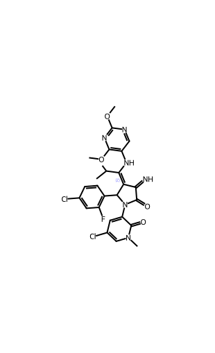 COc1ncc(N/C(=C2\C(=N)C(=O)N(c3cc(Cl)cn(C)c3=O)C2c2ccc(Cl)cc2F)C(C)C)c(OC)n1